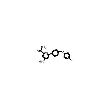 COc1cc(C(N)=O)nc(-c2ccc(Oc3ccc(F)cc3)cc2)c1